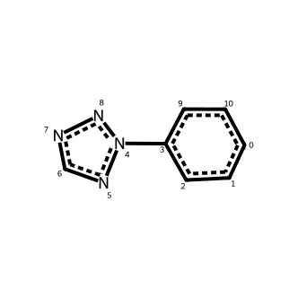 [c]1ccc(-n2ncnn2)cc1